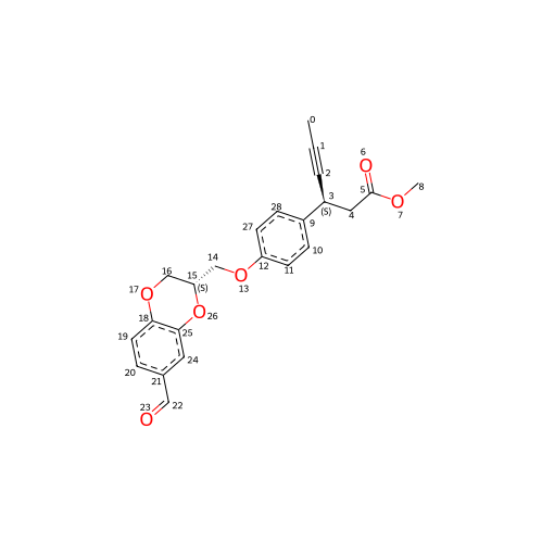 CC#C[C@@H](CC(=O)OC)c1ccc(OC[C@H]2COc3ccc(C=O)cc3O2)cc1